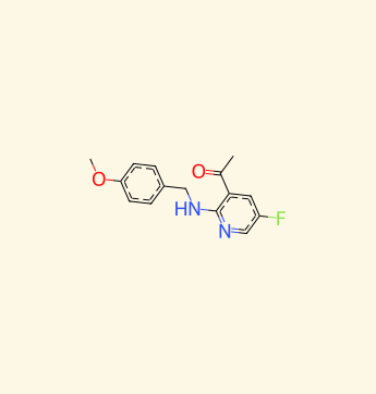 COc1ccc(CNc2ncc(F)cc2C(C)=O)cc1